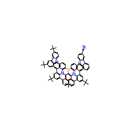 CC(C)(C)c1cc(-c2ccccc2)c(N2c3cc(-n4c5ccccc5c5cc(C#N)ccc54)ccc3B3c4ccc(-n5c6ccc(C(C)(C)C)cc6c6cc(C(C)(C)C)ccc65)cc4N(c4c(-c5ccccc5)cc(C(C)(C)C)cc4-c4ccccc4)c4cc(C(C)(C)C)cc2c43)c(-c2ccccc2)c1